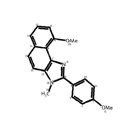 COc1ccc(-c2nc3c4c(OC)cccc4ccc3n2C)cc1